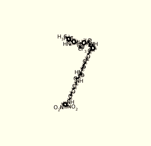 Cc1ccc2c(c1)NC[C@]21CCN(C[C@@H](OC(=O)C(F)(F)F)C2CCN(C(=O)c3cc4c(OCCOCCOCCOCCNC(=O)CCC(=O)NCCOCCOCCOCCNc5ccc([N+](=O)[O-])cc5[N+](=O)[O-])cccc4[nH]3)CC2)C[C@H]1C